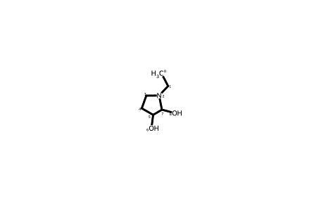 CCN1CCC(O)C1O